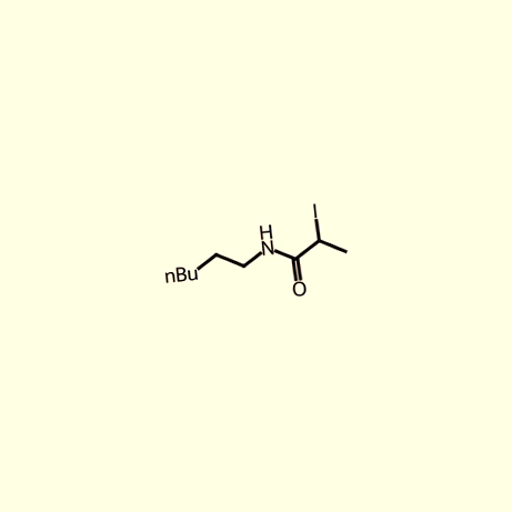 CCCCCCNC(=O)C(C)I